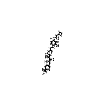 O=C(CC1CCC1)Nc1ccn(CCC(F)Cn2cc(C(=O)NCc3ccc(C(F)(F)F)nc3)nn2)c(=O)c1F